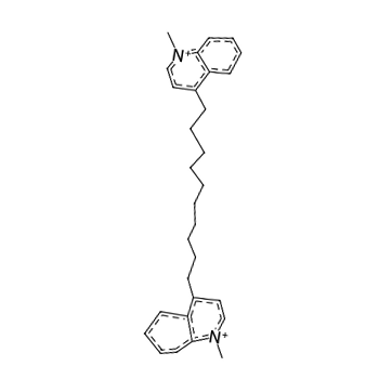 C[n+]1ccc(CCCCCCCCCCc2cc[n+](C)c3ccccc23)c2ccccc21